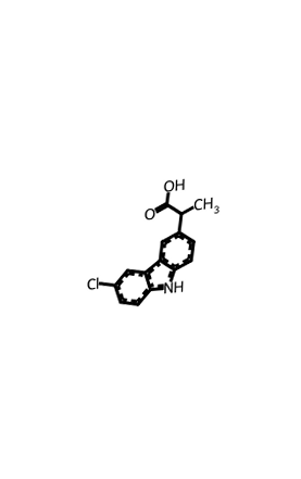 CC(C(=O)O)c1ccc2[nH]c3ccc(Cl)cc3c2c1